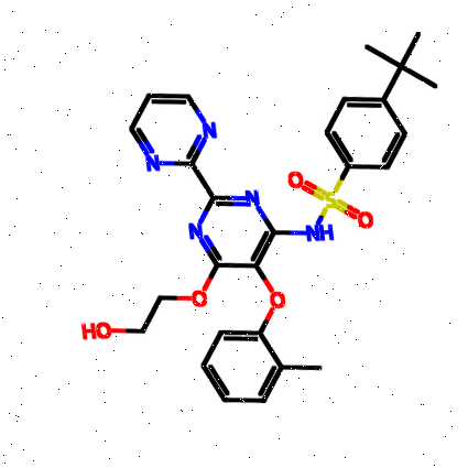 Cc1ccccc1Oc1c(NS(=O)(=O)c2ccc(C(C)(C)C)cc2)nc(-c2ncccn2)nc1OCCO